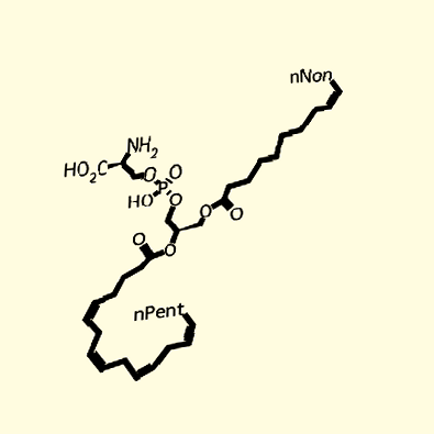 CCCCC/C=C\C/C=C\C/C=C\C/C=C\CCCC(=O)O[C@H](COC(=O)CCCCCCC/C=C\CCCCCCCCC)COP(=O)(O)OC[C@H](N)C(=O)O